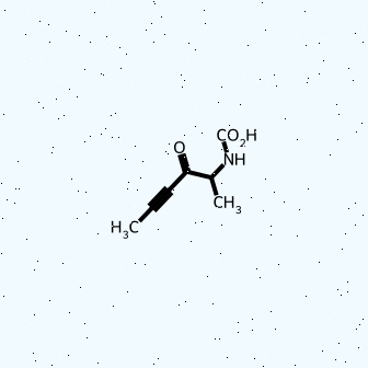 CC#CC(=O)C(C)NC(=O)O